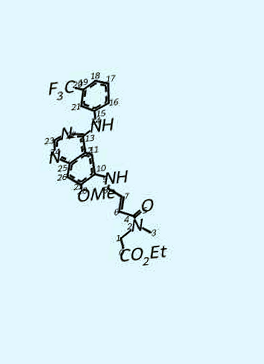 CCOC(=O)CN(C)C(=O)C=CCNc1cc2c(Nc3cccc(C(F)(F)F)c3)ncnc2cc1OC